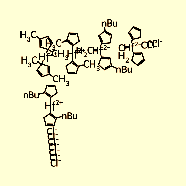 CC1=C[C](C)([Hf+2][C]2(C)C=CC(C)=C2)C=C1.CC1=[C]([Hf+2][C]2=C(C)C=CC2)CC=C1.CCCCC1=[C]([Hf+2][C]2=C(CCCC)C=CC2)CC=C1.[CH2]=[Hf-2]([C]1=CC(CCCC)=CC1)[C]1=CC(CCCC)=CC1.[CH2]=[Hf-2]([C]1=CC=CC1)[C]1=CC=CC1.[Cl-].[Cl-].[Cl-].[Cl-].[Cl-].[Cl-].[Cl-].[Cl-].[Cl-].[Cl-]